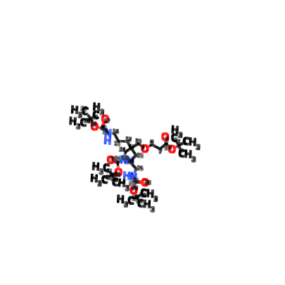 CC(C)(C)OC(=O)CCOCC(CCCNC(=O)OC(C)(C)C)(CCCNC(=O)OC(C)(C)C)CNC(=O)OC(C)(C)C